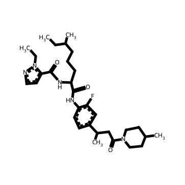 CCC(C)CCCC(NC(=O)c1ccnn1CC)C(=O)Nc1ccc(C(C)CC(=O)N2CCC(C)CC2)cc1F